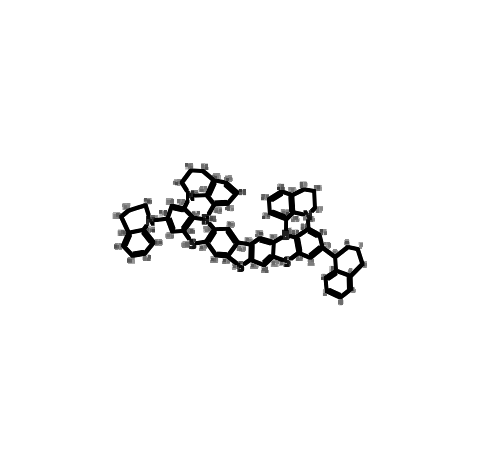 c1ccc2c(c1)CCCC2c1cc2c3c(c1)N1CCCc4cccc(c41)B3c1cc3c(cc1S2)sc1cc2c(cc13)B1c3cccc4c3N(CCC4)c3cc(N4CCCc5ccccc54)cc(c31)S2